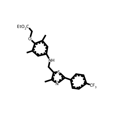 CCOC(=O)COc1c(C)cc(NCc2sc(-c3ccc(C(F)(F)F)cc3)nc2C)cc1C